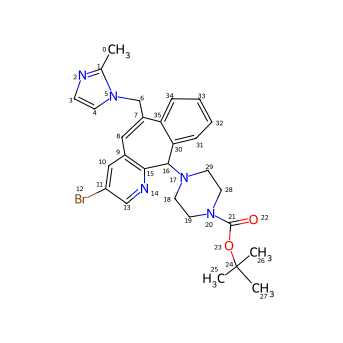 Cc1nccn1CC1=Cc2cc(Br)cnc2C(N2CCN(C(=O)OC(C)(C)C)CC2)c2ccccc21